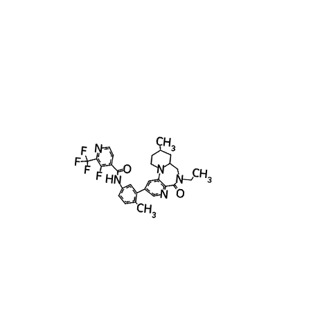 CCN1CC2CC(C)CCN2c2cc(-c3cc(NC(=O)c4ccnc(C(F)(F)F)c4F)ccc3C)cnc2C1=O